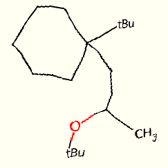 CC(CC1(C(C)(C)C)CCCCC1)OC(C)(C)C